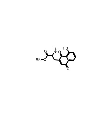 CC(C)(C)OC(=O)C(N)CC1=CC(=O)c2cccc(O)c2C1=O